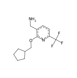 NCc1ccc(C(F)(F)F)nc1OCC1CCCC1